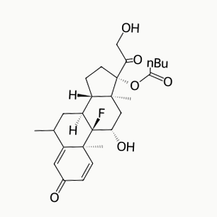 CCCCC(=O)O[C@@]1(C(=O)CO)CC[C@H]2[C@@H]3CC(C)C4=CC(=O)C=C[C@]4(C)[C@@]3(F)[C@@H](O)C[C@@]21C